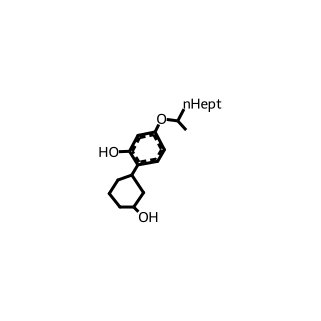 CCCCCCCC(C)Oc1ccc(C2CCCC(O)C2)c(O)c1